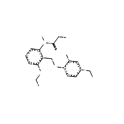 CCOc1cccc(N(C)C(=O)CC)c1COc1ccc(CC)cc1C